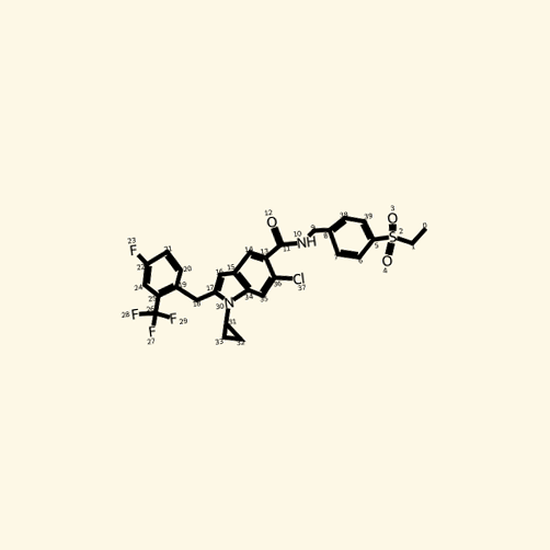 CCS(=O)(=O)c1ccc(CNC(=O)c2cc3cc(Cc4ccc(F)cc4C(F)(F)F)n(C4CC4)c3cc2Cl)cc1